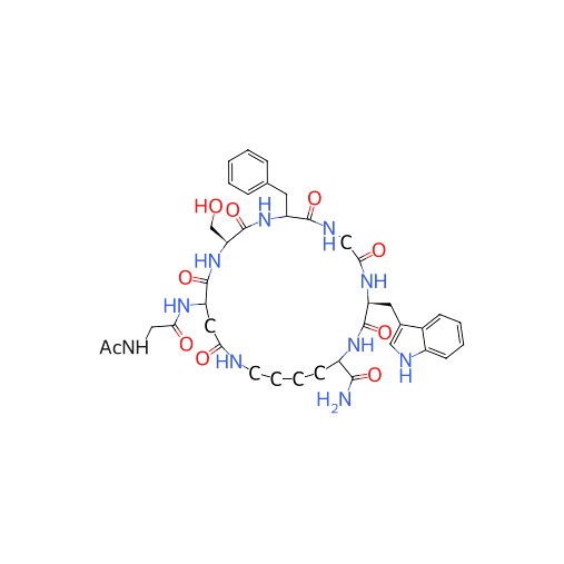 CC(=O)NCC(=O)NC1CC(=O)NCCCCC(C(N)=O)NC(=O)[C@H](Cc2c[nH]c3ccccc23)NC(=O)CNC(=O)C(Cc2ccccc2)NC(=O)[C@H](CO)NC1=O